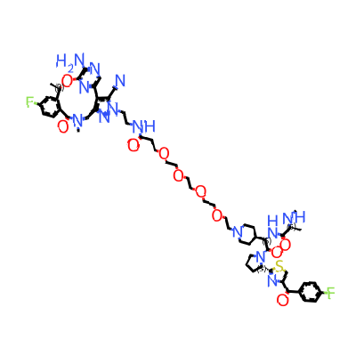 CN[C@@H](C)C(=O)N[C@H](C(=O)N1CCC[C@H]1C1=NC(C(=O)c2ccc(F)cc2)CS1)C1CCN(CCOCCOCCOCCOCCC(=O)NCCn2nc3c(c2C#N)-c2cnc(N)c(n2)O[C@H](C)c2cc(F)ccc2C(=O)N(C)C3)CC1